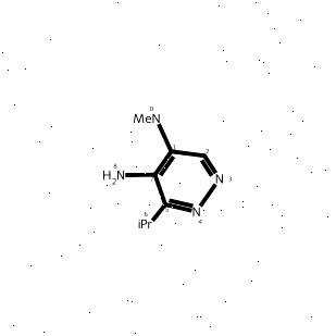 CNc1cnnc(C(C)C)c1N